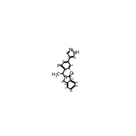 CC(c1ccc(-c2cn[nH]c2)cc1F)N1Cc2ccccc2C1=O